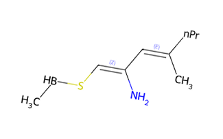 CBS/C=C(N)/C=C(\C)CCC